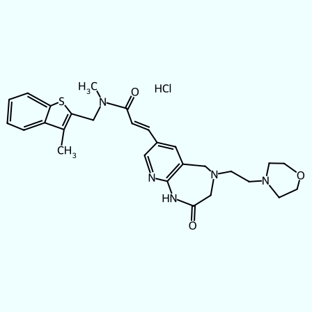 Cc1c(CN(C)C(=O)/C=C/c2cnc3c(c2)CN(CCN2CCOCC2)CC(=O)N3)sc2ccccc12.Cl